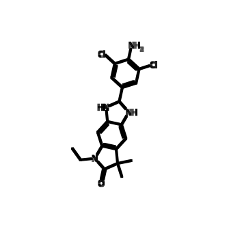 CCN1C(=O)C(C)(C)c2cc3c(cc21)NC(c1cc(Cl)c(N)c(Cl)c1)N3